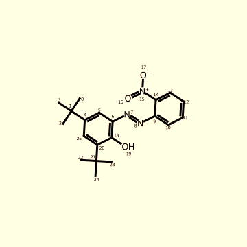 CC(C)(C)c1cc(N=Nc2ccccc2[N+](=O)[O-])c(O)c(C(C)(C)C)c1